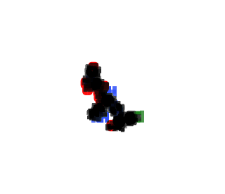 COCC1(C)CCC(CN2CCN(c3ccc(C(=O)NS(=O)(=O)c4ccc(N(C)C5CCOCC5)c([N+](=O)[O-])c4)c(Oc4cnc5[nH]ccc5c4)c3)CC2)=C(c2ccc(Cl)cc2)C1